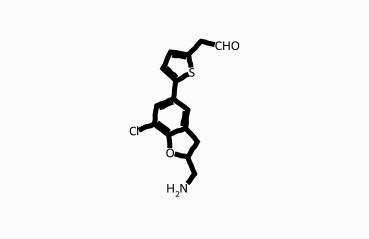 NCC1Cc2cc(-c3ccc(CC=O)s3)cc(Cl)c2O1